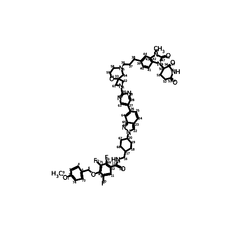 COc1ccc(COc2c(F)cc(C(=O)NCC3CCC(n4cc5ccc(-c6cnc(N7CC8(CN(CCCc9ccc%10c(c9)n(C)c(=O)n%10C9CCC(=O)NC9=O)CCO8)C7)nc6)cc5n4)CC3)c(F)c2F)cc1